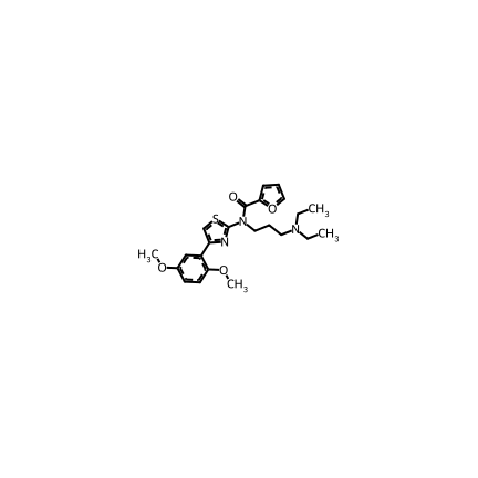 CCN(CC)CCCN(C(=O)c1ccco1)c1nc(-c2cc(OC)ccc2OC)cs1